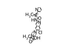 C[C@@H]1[C@@H](C(=O)Nc2cc3cc(N4CCN([C@]5(C)COC[C@@H]5O)CC4)c(Cl)cc3cn2)[C@@H]1c1ccccn1